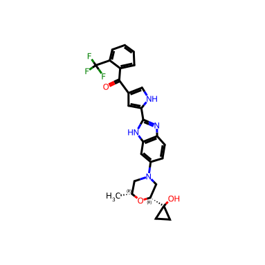 C[C@@H]1CN(c2ccc3nc(-c4cc(C(=O)c5ccccc5C(F)(F)F)c[nH]4)[nH]c3c2)C[C@H](C2(O)CC2)O1